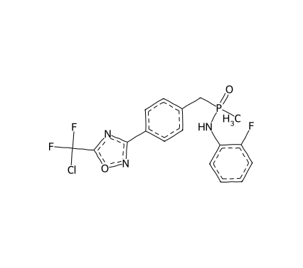 CP(=O)(Cc1ccc(-c2noc(C(F)(F)Cl)n2)cc1)Nc1ccccc1F